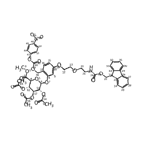 COC(=O)C1O[C@@H](Oc2cc(OCCOCCNC(=O)OCC3c4ccccc4-c4ccccc43)ccc2COC(=O)Oc2ccc([N+](=O)[O-])cc2)[C@H](OC(C)=O)[C@@H](OC(C)=O)[C@@H]1OC(C)=O